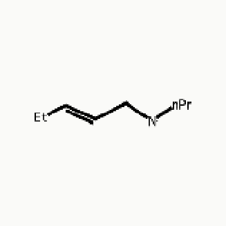 CCC=CC[N]CCC